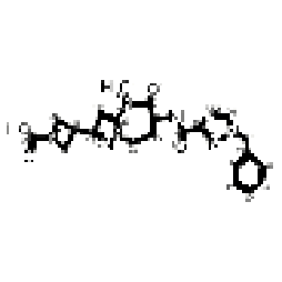 CN1C(=O)C(NC(=O)c2ncn(Cc3ccccc3)n2)CCn2nc(C3CN(C(=O)O)C3)cc21